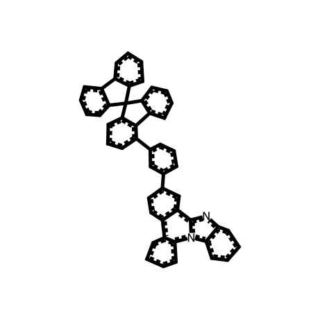 c1cc(-c2ccc3c4ccccc4n4c5ccccc5nc4c3c2)cc(-c2cccc3c2-c2ccccc2C32c3ccccc3-c3ccccc32)c1